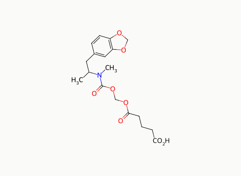 CC(Cc1ccc2c(c1)OCO2)N(C)C(=O)OCOC(=O)CCCC(=O)O